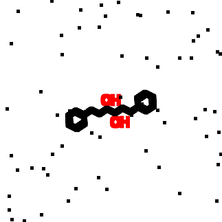 O[C@@H](CCc1ccccc1)[C@@H](O)CCc1ccccc1